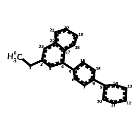 CCc1cc(-c2ccc(-c3ccccc3)cc2)c2ccccc2c1